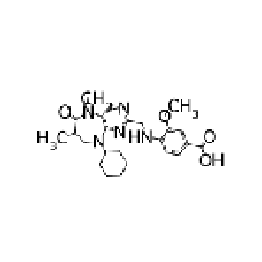 COc1cc(C(=O)O)ccc1NCc1ncc2c(n1)N(C1CCCCC1)CC(C)C(=O)N2C